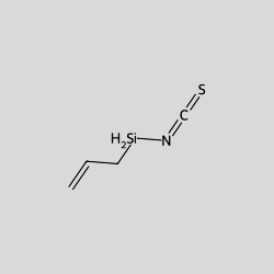 C=CC[SiH2]N=C=S